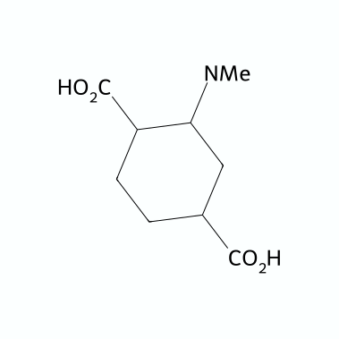 CNC1CC(C(=O)O)CCC1C(=O)O